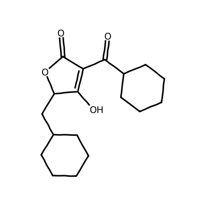 O=C1OC(CC2CCCCC2)C(O)=C1C(=O)C1CCCCC1